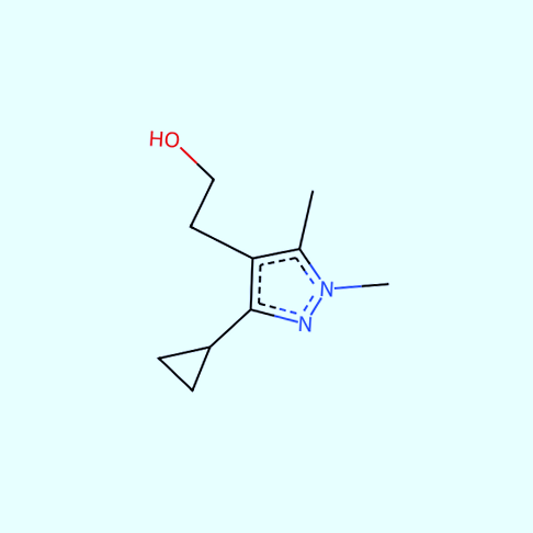 Cc1c(CCO)c(C2CC2)nn1C